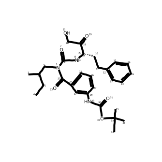 CCC(C)CN(C(=O)N[C@@H](CCc1ccccc1)C(=O)CO)C(=O)c1cccc(NC(=O)OC(C)(C)C)c1